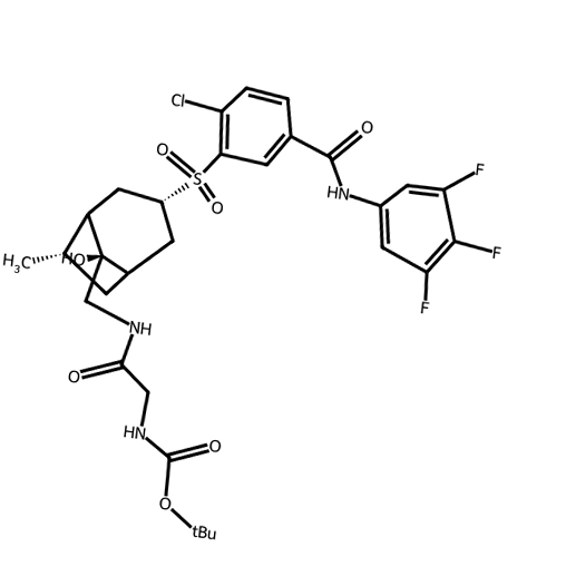 C[C@H]1CC2C[C@@H](S(=O)(=O)c3cc(C(=O)Nc4cc(F)c(F)c(F)c4)ccc3Cl)CC1[C@@]2(O)CNC(=O)CNC(=O)OC(C)(C)C